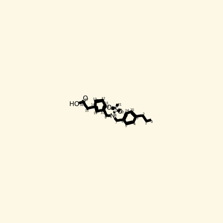 CCCc1ccc(CN(Cc2cccc(CC(=O)O)c2)S(C)(=O)=O)cc1